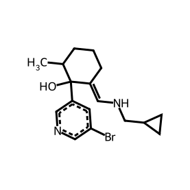 CC1CCC/C(=C\NCC2CC2)C1(O)c1cncc(Br)c1